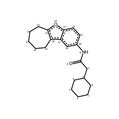 O=C(CC1CCCCC1)Nc1ccc2oc3c(c2c1)CCCCC3